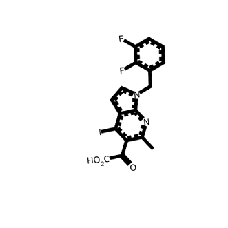 Cc1nc2c(ccn2Cc2cccc(F)c2F)c(I)c1C(=O)C(=O)O